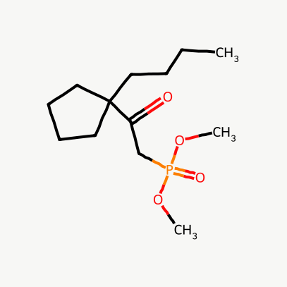 CCCCC1(C(=O)CP(=O)(OC)OC)CCCC1